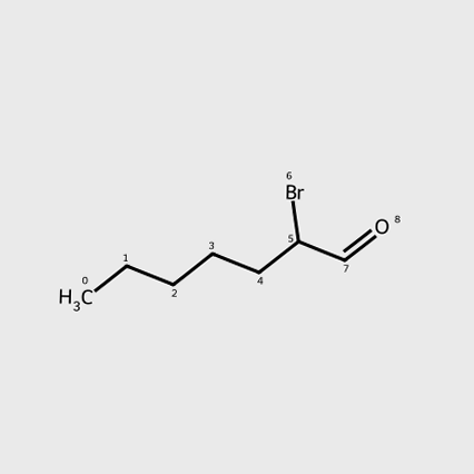 CCCCCC(Br)C=O